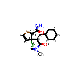 CN(C#N)C(=O)[C@H](CC1CCCCC1)C1(Br)C=CSC1C(N)=O